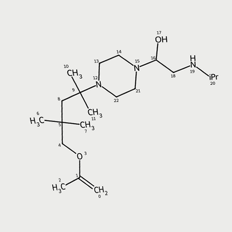 C=C(C)OCC(C)(C)CC(C)(C)N1CCN(C(O)CNC(C)C)CC1